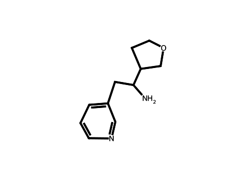 NC(Cc1cccnc1)C1CCOC1